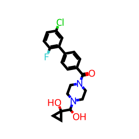 O=C(c1ccc(-c2cc(Cl)ccc2F)cc1)N1CCN(C(O)C2(O)CC2)CC1